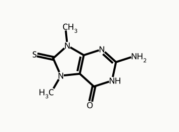 Cn1c(=S)n(C)c2c(=O)[nH]c(N)nc21